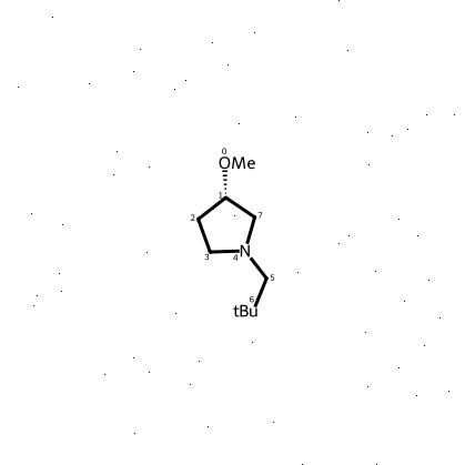 CO[C@H]1CCN(CC(C)(C)C)C1